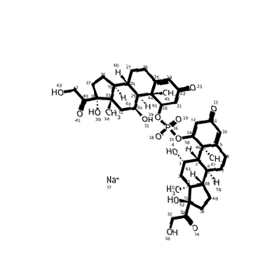 C[C@]12C[C@H](O)[C@H]3[C@@H](CCC4=CC(=O)CC(OP(=O)([O-])OC5CC(=O)C=C6CC[C@@H]7[C@H]([C@@H](O)C[C@@]8(C)[C@H]7CC[C@]8(O)C(=O)CO)[C@]65C)[C@@]43C)[C@@H]1CC[C@]2(O)C(=O)CO.[Na+]